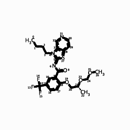 CCCCn1/c(=N/C(=O)c2cc(C(F)(F)F)ccc2OC[C@@H](C)OCOC)sc2ccncc21